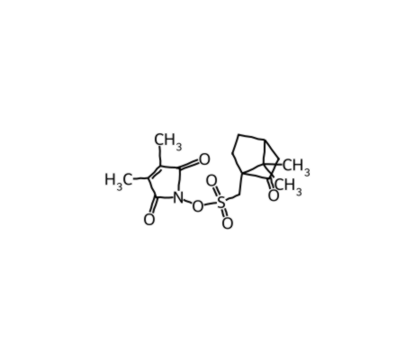 CC1=C(C)C(=O)N(OS(=O)(=O)CC23CCC(CC2=O)C3(C)C)C1=O